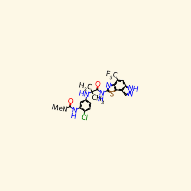 CNC(=O)Nc1cc(NC(C)(C)C(=O)Nc2nc3c(C(F)(F)F)cc4[nH]ncc4c3s2)ccc1Cl